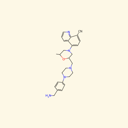 CC1CN(c2ccc(C#N)c3ncccc23)CC(CN2CCN(c3ccc(CN)cc3)CC2)O1